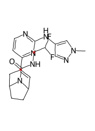 Cn1cc(Nc2nccc(C3=CC4CCC(C3)N4C(=O)NCC(F)F)n2)cn1